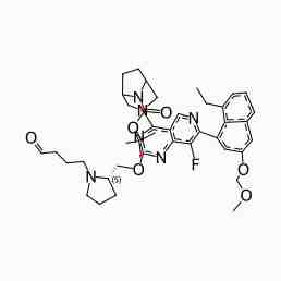 CCc1cccc2cc(OCOC)cc(-c3ncc4c(N5CC6CCC(C5)N6C(=O)OC(C)(C)C)nc(OC[C@@H]5CCCN5CCCC=O)nc4c3F)c12